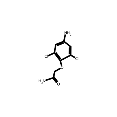 NC(=O)COc1c(Cl)cc(N)cc1Cl